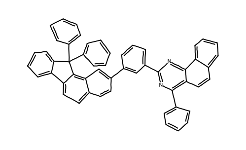 c1ccc(-c2nc(-c3cccc(-c4ccc5ccc6c(c5c4)C(c4ccccc4)(c4ccccc4)c4ccccc4-6)c3)nc3c2ccc2ccccc23)cc1